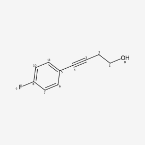 OCCC#Cc1ccc(F)cc1